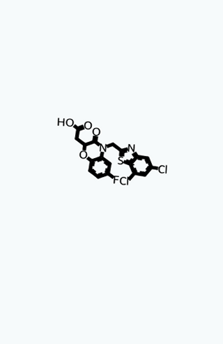 O=C(O)CC1Oc2ccc(F)cc2N(Cc2nc3cc(Cl)cc(Cl)c3s2)C1=O